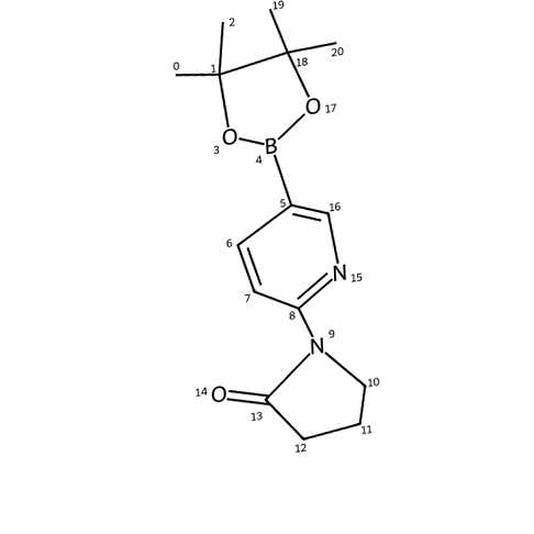 CC1(C)OB(c2ccc(N3CCCC3=O)nc2)OC1(C)C